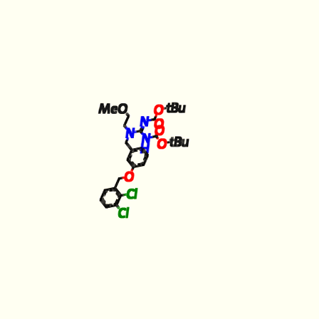 COCCN(Cc1cccc(OCc2cccc(Cl)c2Cl)c1)C(=NC(=O)OC(C)(C)C)NC(=O)OC(C)(C)C